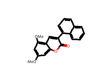 COc1cc(OC)c2cc(-c3cccc4ccccc34)c(=O)oc2c1